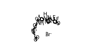 CCc1cc(Nc2nccn3c(-c4ccc(OC)c(F)c4F)cnc23)ccc1C(=O)NCCOCC[N+](C)(C)CCCC(=O)OC.[Br-]